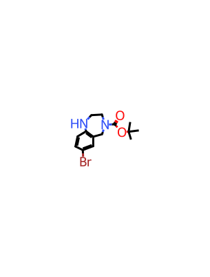 CC(C)(C)OC(=O)N1CCNc2ccc(Br)cc2C1